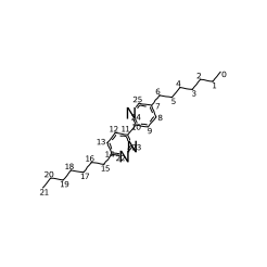 CCCCCCCc1ccc(-c2ccc(CCCCCCC)nn2)nc1